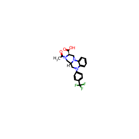 CC(=O)N1C[C@H]2CN(c3ccc(C(F)(F)F)cc3)c3ccccc3N2C[C@@H]1C(=O)O